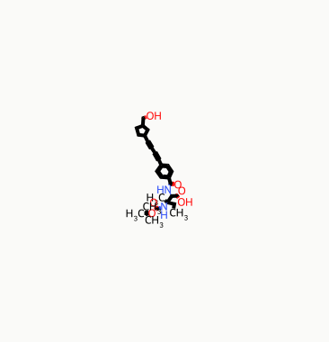 CCC(C)(NC(=O)OC(C)(C)C)[C@H](NC(=O)c1ccc(C#CC#CC2CCC(CO)C2)cc1)C(=O)O